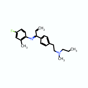 C=C/C(=N\c1ccc(F)cc1C)c1ccc(CCN(C)CCC)cc1